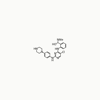 CNC(O)c1ccccc1Nc1nc(Nc2ccc(N3CCNCC3)cc2)ncc1Cl